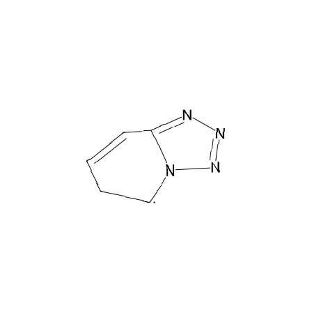 [CH]1CC=Cc2nnnn21